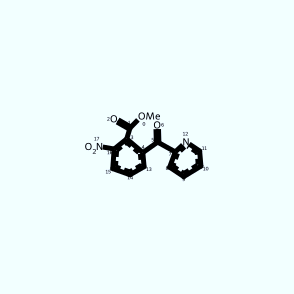 COC(=O)c1c(C(=O)c2ccccn2)cccc1[N+](=O)[O-]